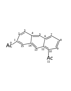 CC(=O)c1ccc2cc3cccc(C(C)=O)c3cc2c1